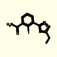 CCn1nnc(-c2cccc(C(N)=O)c2I)n1